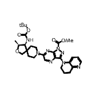 COC(=O)n1nc(N2CCCc3ncccc32)c2ncc(N3CCC4(CC3)CO[C@@H](C)[C@H]4NC(=O)OC(C)(C)C)nc21